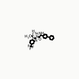 CC(C)n1c(NC(=O)C(N)c2ccc(-c3ccccc3)cc2)nc2cc(C(F)(F)F)ccc21